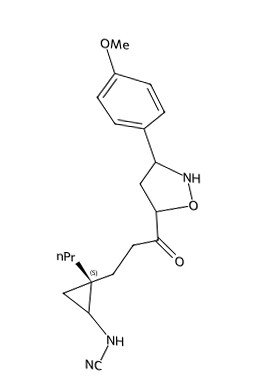 CCC[C@]1(CCC(=O)C2CC(c3ccc(OC)cc3)NO2)CC1NC#N